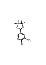 CC1(C)OC(c2cnc(Cl)c(N)c2)OC1(C)C